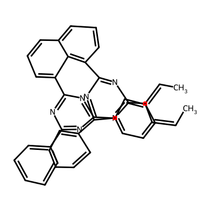 C/C=C\C(=C/C)c1nc(-c2ccccc2)nc(-c2cccc3cccc(-c4nc(-c5ccccc5)nc(-c5ccccc5)n4)c23)n1